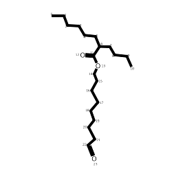 CCCCCCC(CCCC)C(=O)OCCCCCCCCC=O